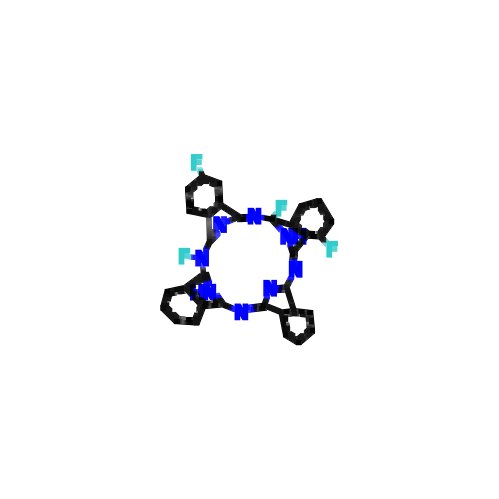 Fc1ccc2c(c1)/C1=N/C3(F)N/C(=N\C4=NC(=N\c5[nH]c(c6ccccc56)N(F)C2=N1)/c1ccccc14)c1c(F)cccc13